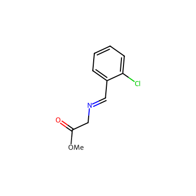 COC(=O)CN=Cc1ccccc1Cl